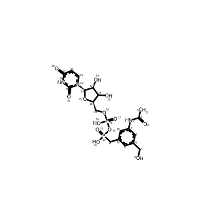 CC(=O)Nc1cc(CO)cc(CP(=O)(O)OP(=O)(O)OC[C@H]2O[C@@H](n3ccc(=O)[nH]c3=O)[C@@H](O)C2O)c1